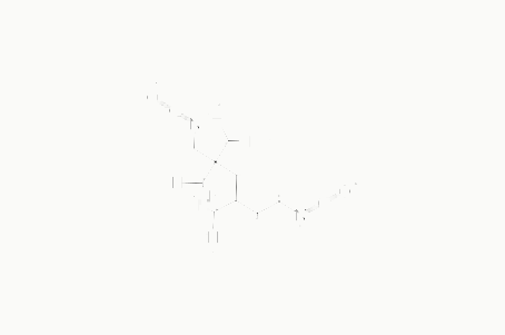 [3H]C([3H])C(CCN=C=O)CC(CN=C=O)(C([3H])[3H])C([3H])[3H]